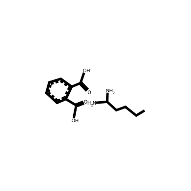 CCCCC(N)N.O=C(O)c1ccccc1C(=O)O